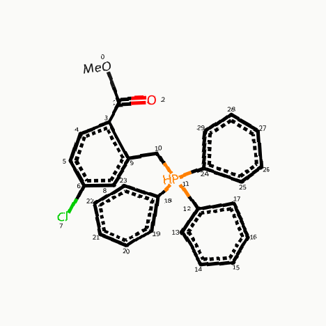 COC(=O)c1ccc(Cl)cc1C[PH](c1ccccc1)(c1ccccc1)c1ccccc1